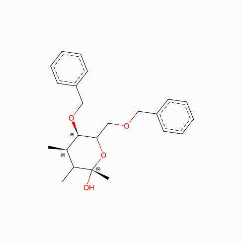 CC1[C@@H](C)[C@@H](OCc2ccccc2)C(COCc2ccccc2)O[C@]1(C)O